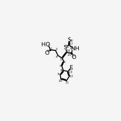 O=C(O)CCC(/C=C/c1ccccc1F)=C1\SC(=S)NC1=O